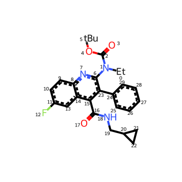 CCN(C(=O)OC(C)(C)C)c1nc2ccc(F)cc2c(C(=O)NCC2CC2)c1-c1ccccc1